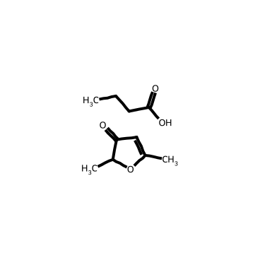 CC1=CC(=O)C(C)O1.CCCC(=O)O